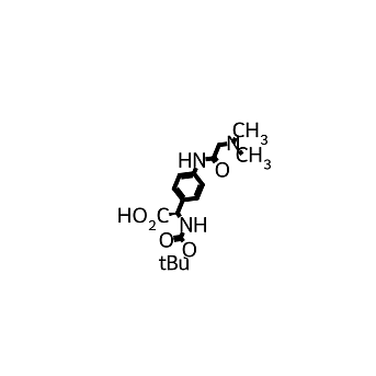 CN(C)CC(=O)Nc1ccc([C@@H](NC(=O)OC(C)(C)C)C(=O)O)cc1